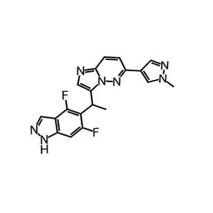 CC(c1c(F)cc2[nH]ncc2c1F)c1cnc2ccc(-c3cnn(C)c3)nn12